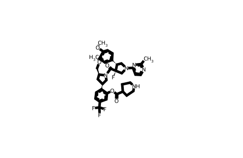 COC[C@@H]1C[C@@H](c2ccc(C(F)(F)F)cc2OC(=O)C2CCNCC2)CN1C(=O)[C@]1(F)CN(c2ccnc(C)n2)C[C@H]1c1ccc(OC)cc1